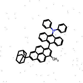 Cc1cc(-c2c3ccccc3c(N(c3ccccc3)c3ccccc3)c3ccccc23)c2ccc3cc(C45CC6CC(CC(C6)C4)C5)cc4ccc1c2c43